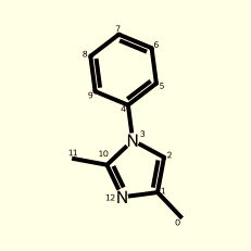 Cc1cn(-c2ccccc2)c(C)n1